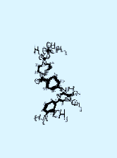 Cc1c(N)cccc1C1=CN(C)C(O)C(Nc2ccc(C(=O)N3CCN(C(=O)OC(C)(C)C)CC3)cc2)=N1